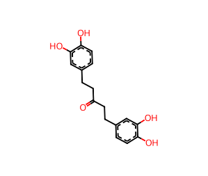 O=C(CCc1ccc(O)c(O)c1)CCc1ccc(O)c(O)c1